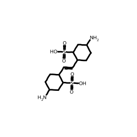 NC1CCC(C=CC2CCC(N)CC2S(=O)(=O)O)C(S(=O)(=O)O)C1